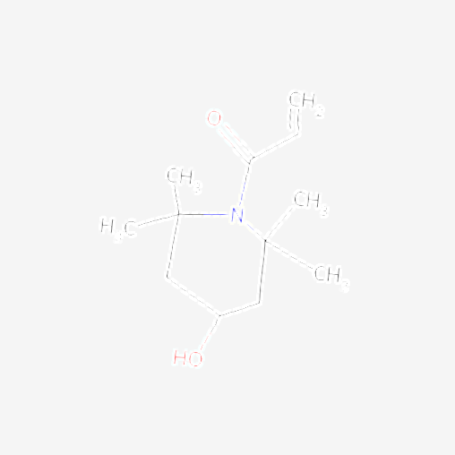 C=CC(=O)N1C(C)(C)CC(O)CC1(C)C